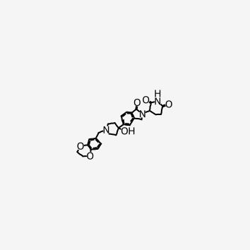 O=C1CCC(N2Cc3cc(C4(O)CCN(Cc5ccc6c(c5)OCCO6)CC4)ccc3C2=O)C(=O)N1